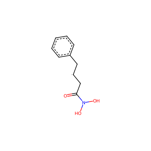 O=C(C[CH]Cc1ccccc1)N(O)O